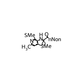 CCCCCCCCCC(=O)C(=O)Nc1c(SC)cc(C)nc1SC